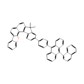 CC1(C)c2cc(-c3ccc(-c4c5ccccc5c(-c5cccc6ccccc56)c5ccccc45)cc3)ccc2-c2c1ccc1ccc3c4ccccc4oc3c21